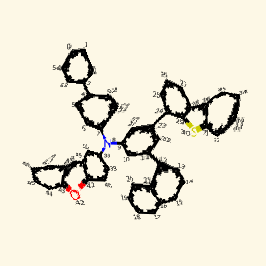 c1ccc(-c2ccc(N(c3cc(-c4cccc5ccccc45)cc(-c4cccc5c4sc4ccccc45)c3)c3ccc4oc5ccccc5c4c3)cc2)cc1